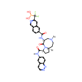 CC(=O)N1CC[C@H]2CC[C@@H](C(=O)N(C)c3ccc4nnccc4c3)N2C(=O)[C@@H](NC(=O)c2ccc3cnc(C(F)(F)P(O)O)cc3c2)C1